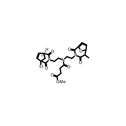 CCC12C=C[C@H](C1)C(=O)N(CCN(CCN1C(=O)C3=C=CC(O3)C(C)C1=O)C(=O)CCC(=O)OC)C2=O